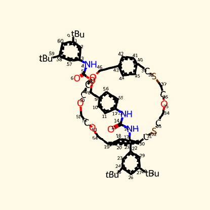 CC(C)(C)c1cc(NC(=O)OCc2ccc(NC(=O)Nc3cc4cc(-c5cc(C(C)(C)C)cc(C(C)(C)C)c5)c3CSCCOCCSCc3ccc(cc3)COCCOCCOC4)cc2)cc(C(C)(C)C)c1